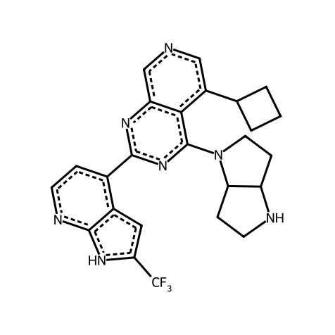 FC(F)(F)c1cc2c(-c3nc(N4CCC5NCCC54)c4c(C5CCC5)cncc4n3)ccnc2[nH]1